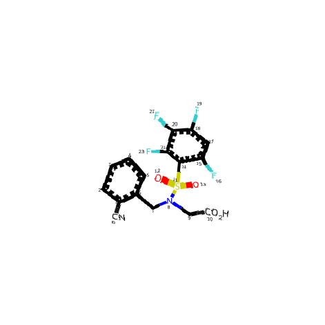 N#Cc1ccccc1CN(CC(=O)O)S(=O)(=O)c1c(F)cc(F)c(F)c1F